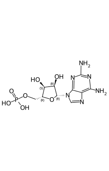 Nc1nc(N)c2ncn([C@@H]3O[C@H](COP(=O)(O)O)[C@@H](O)[C@H]3O)c2n1